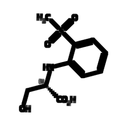 CS(=O)(=O)c1ccccc1N[C@@H](CO)C(=O)O